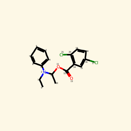 CCN(c1ccccc1)C(C)OC(=O)c1cc(Cl)ccc1Cl